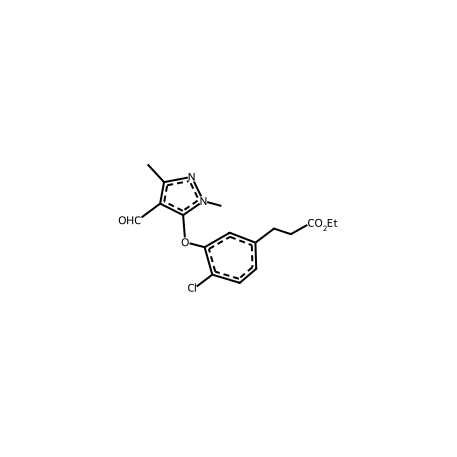 CCOC(=O)CCc1ccc(Cl)c(Oc2c(C=O)c(C)nn2C)c1